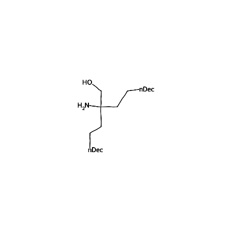 CCCCCCCCCCCCC(N)(CO)CCCCCCCCCCCC